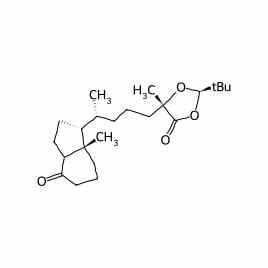 C[C@H](CCC[C@]1(C)O[C@@H](C(C)(C)C)OC1=O)[C@H]1CCC2C(=O)CCC[C@]21C